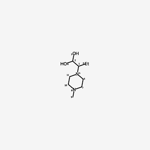 CCC(C(O)O)N1CCN(C)CC1